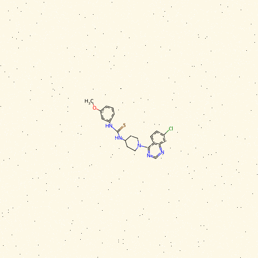 COc1cccc(NC(=S)NC2CCN(c3ncnc4cc(Cl)ccc34)CC2)c1